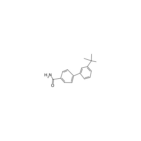 CC(C)(C)c1cccc(-c2ccc(C(N)=O)cc2)c1